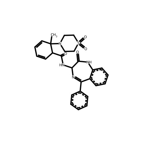 CC1(N2CCS(=O)(=O)CC2)C=CC=CC1C(=O)NC1N=C(c2ccccc2)c2ccccc2NC1=O